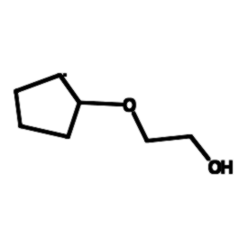 OCCOC1[CH]CCC1